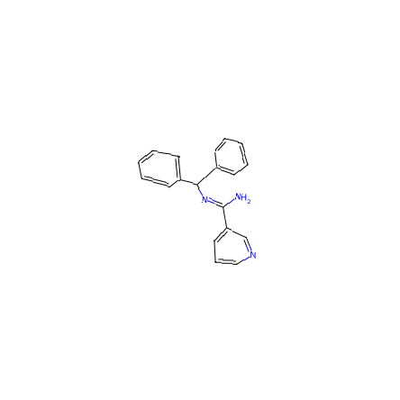 N/C(=N\C(c1ccccc1)c1ccccc1)c1cccnc1